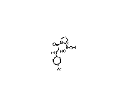 CC(=O)N1CCC(NCC(=O)N2CCC[C@H]2B(O)O)CC1